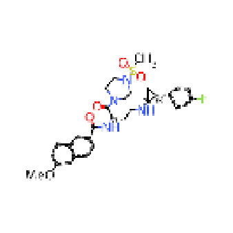 COc1ccc2cc(C(=O)N[C@@H](CCN[C@H]3C[C@@H]3c3ccc(F)cc3)C(=O)N3CCN(S(C)(=O)=O)CC3)ccc2c1